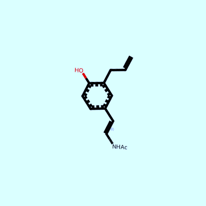 C=CCc1cc(/C=C/NC(C)=O)ccc1O